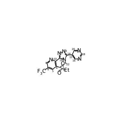 CCS(=O)(=O)c1cc(C(F)(F)F)cnc1-c1nnc(-c2cncnc2)n1C